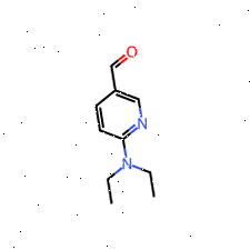 CCN(CC)c1ccc(C=O)cn1